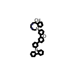 C=C1/C=C\C=C/CN(c2ccc3oc4ccc(-c5cccc(-n6c7ccccc7c7ccccc76)c5)cc4c3c2)c2ccccc21